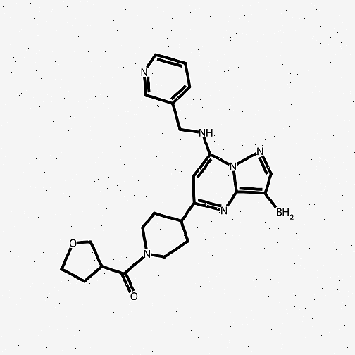 Bc1cnn2c(NCc3cccnc3)cc(C3CCN(C(=O)C4CCOC4)CC3)nc12